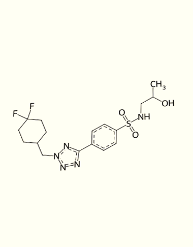 CC(O)CNS(=O)(=O)c1ccc(-c2nnn(CC3CCC(F)(F)CC3)n2)cc1